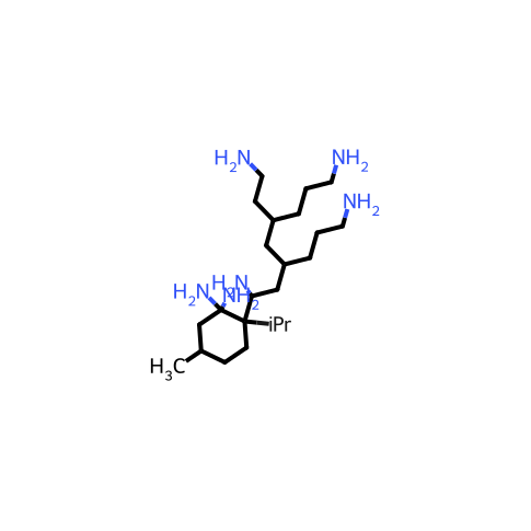 CC1CCC(C(C)C)(C(N)CC(CCCN)CC(CCN)CCCN)C(N)(N)C1